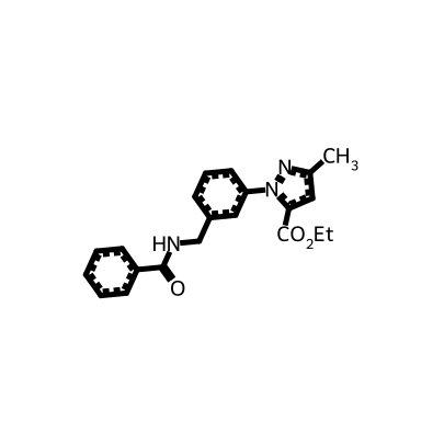 CCOC(=O)c1cc(C)nn1-c1cccc(CNC(=O)c2ccccc2)c1